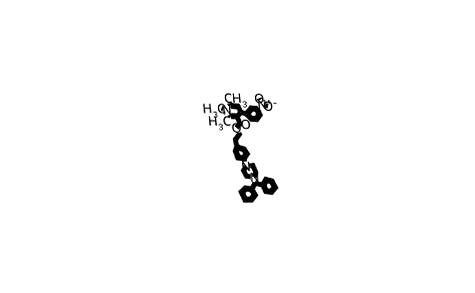 CC1=CC(c2cccc([N+](=O)[O-])c2)C(C(=O)OCCc2ccc(N3CCN(C(c4ccccc4)c4ccccc4)CC3)cc2)=C(C)N1C